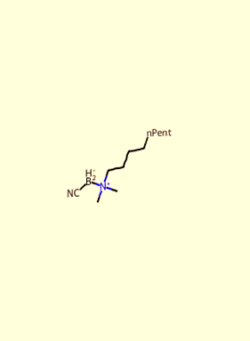 CCCCCCCCC[N+](C)(C)[BH2-]C#N